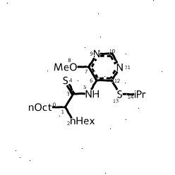 CCCCCCCCC(CCCCCC)C(=S)Nc1c(OC)ncnc1SC(C)C